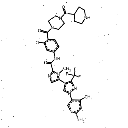 Cc1cc(N)ncc1-n1cc(-c2cnc(C(=O)Nc3ccc(C(=O)N4CCN(C(=O)C5CCNCC5)CC4)c(Cl)c3)n2C)c(C(F)(F)F)n1